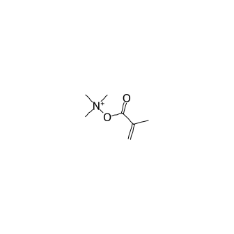 C=C(C)C(=O)O[N+](C)(C)C